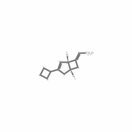 O=C(O)C=C1C[C@@H]2CC(C3CCC3)=C[C@H]12